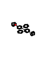 c1ccc(S(c2ccccc2)(c2ccc(N3C4CC5CC(C4)CC3C5)cc2)c2ccc(N3C4CC5CC(C4)CC3C5)cc2)cc1